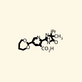 CC(C)C1(C)N=C(c2ncc(C3OCCCCO3)cc2C(=O)O)NC1=O